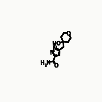 Cn1nc(C(N)=O)cc1CC1(O)CCOCC1